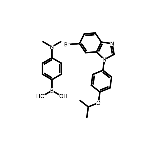 CC(C)Oc1ccc(-n2cnc3ccc(Br)cc32)cc1.CN(C)c1ccc(B(O)O)cc1